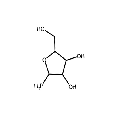 OCC1OC(P)C(O)C1O